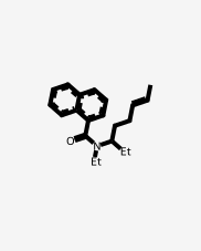 CC=CCCC(CC)N(CC)C(=O)c1cccc2ccccc12